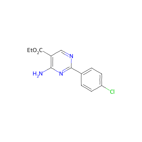 CCOC(=O)c1cnc(-c2ccc(Cl)cc2)nc1N